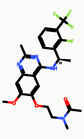 COc1cc2nc(C)nc(N[C@H](C)c3cccc(C(F)(F)F)c3F)c2cc1OCCN(C)C(C)=O